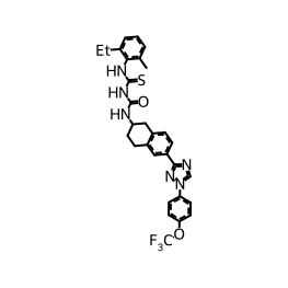 CCc1cccc(C)c1NC(=S)NC(=O)NC1CCc2cc(-c3ncn(-c4ccc(OC(F)(F)F)cc4)n3)ccc2C1